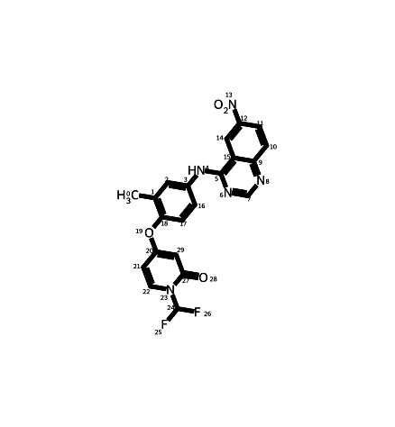 Cc1cc(Nc2ncnc3ccc([N+](=O)[O-])cc23)ccc1Oc1ccn(C(F)F)c(=O)c1